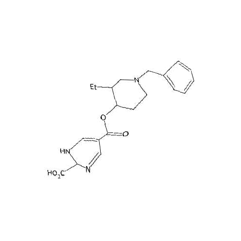 CCC1CN(Cc2ccccc2)CCC1OC(=O)C1=CNC(C(=O)O)N=C1